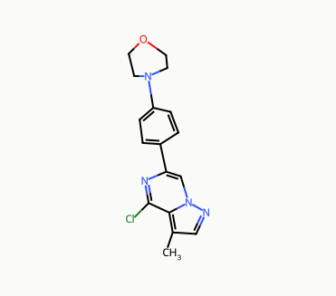 Cc1cnn2cc(-c3ccc(N4CCOCC4)cc3)nc(Cl)c12